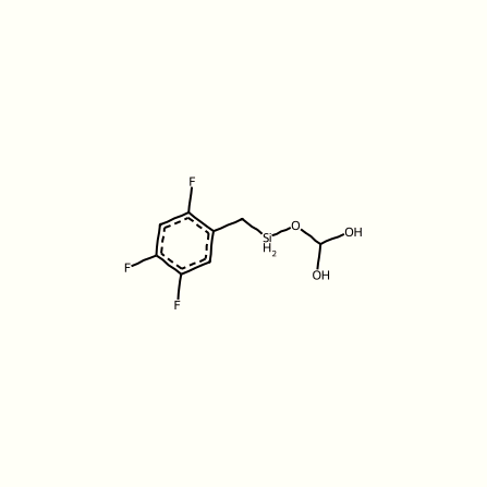 OC(O)O[SiH2]Cc1cc(F)c(F)cc1F